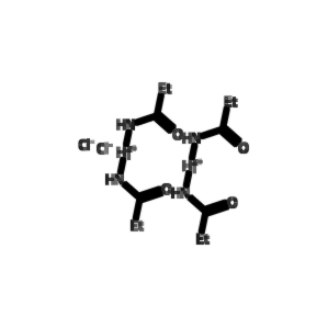 CCC(=O)[NH][Hf+][NH]C(=O)CC.CCC(=O)[NH][Hf+][NH]C(=O)CC.[Cl-].[Cl-]